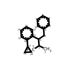 CC(C)[C](Cc1ccccc1)c1ccccc1C1CC1